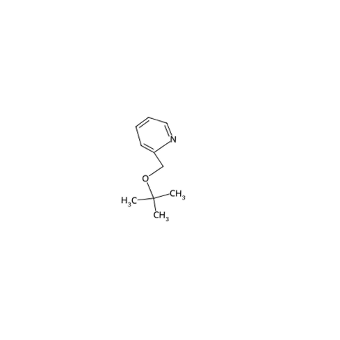 CC(C)(C)OCc1ccccn1